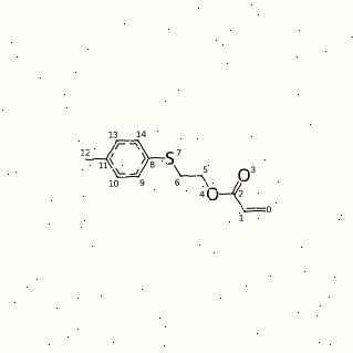 C=CC(=O)OCCSc1ccc(C)cc1